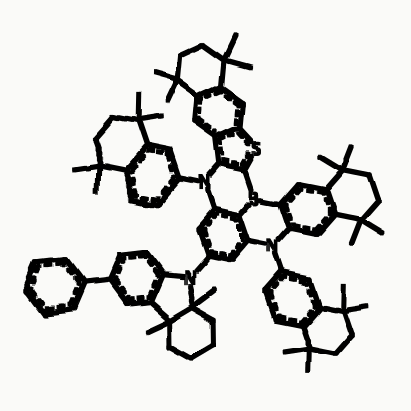 CC1(C)CCC(C)(C)c2cc(N3c4cc5c(cc4B4c6sc7cc8c(cc7c6N(c6ccc7c(c6)C(C)(C)CCC7(C)C)c6cc(N7c9ccc(-c%10ccccc%10)cc9C9(C)CCCCC79C)cc3c64)C(C)(C)CCC8(C)C)C(C)(C)CCC5(C)C)ccc21